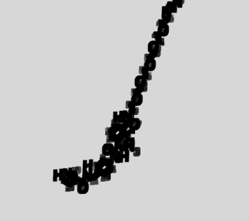 Cc1c(NC(=O)Nc2ccc(CNC(=O)[C@H]3CCNC3)cc2)cccc1C(=O)NCCOCCOCCOCCOCCOCCN=[N+]=[N-]